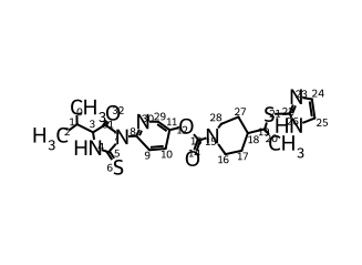 CC(C)C1NC(=S)N(c2ccc(OC(=O)N3CCC(C(C)Sc4ncc[nH]4)CC3)cn2)C1=O